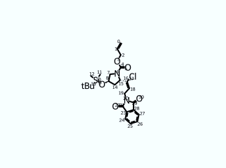 C=CCOC(=O)N1C[C@H](O[Si](C)(C)C(C)(C)C)C[C@H]1/C(Cl)=C\CN1C(=O)c2ccccc2C1=O